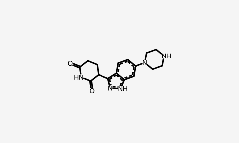 O=C1CCC(c2n[nH]c3cc(N4CCNCC4)ccc23)C(=O)N1